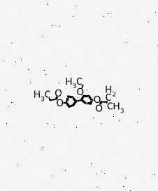 C=C(C)C(=O)Oc1ccc(-c2ccc(OC(=O)CC)cc2)c(OCC)c1